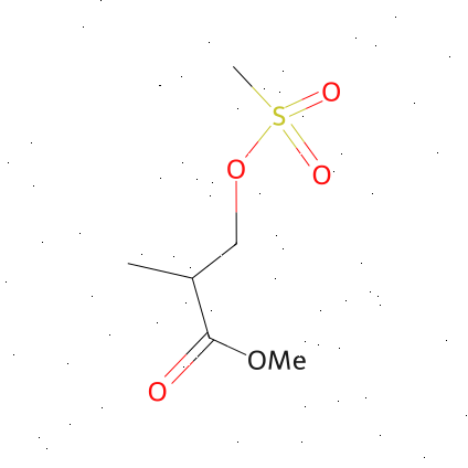 COC(=O)C(C)COS(C)(=O)=O